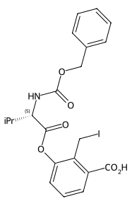 CC(C)[C@H](NC(=O)OCc1ccccc1)C(=O)Oc1cccc(C(=O)O)c1CI